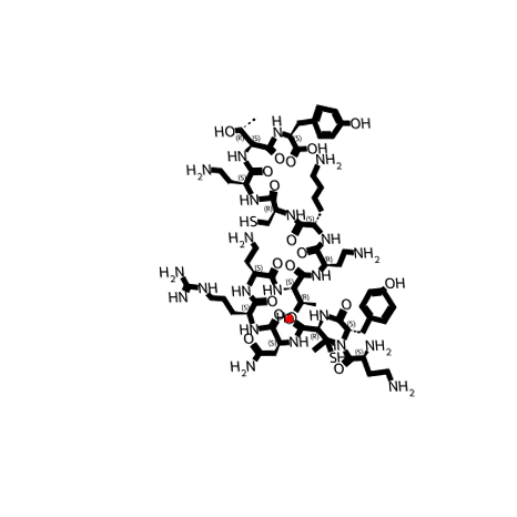 C[C@@H](O)[C@H](NC(=O)[C@H](CCN)NC(=O)[C@H](CS)NC(=O)[C@H](CCCCN)NC(=O)[C@@H](CCN)NC(=O)[C@@H](NC(=O)[C@H](CCN)NC(=O)[C@H](CCCNC(=N)N)NC(=O)[C@H](CC(N)=O)NC(=O)[C@@H](NC(=O)[C@H](Cc1ccc(O)cc1)NC(=O)[C@@H](N)CCN)C(C)(C)S)[C@@H](C)O)C(=O)N[C@@H](Cc1ccc(O)cc1)C(=O)O